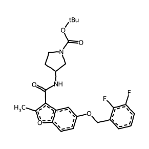 Cc1oc2ccc(OCc3cccc(F)c3F)cc2c1C(=O)NC1CCN(C(=O)OC(C)(C)C)C1